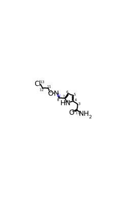 NC(=O)Cc1ccc(/C=N/OCCCl)[nH]1